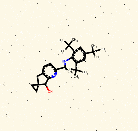 CC(Nc1c(C(C)(C)C)cc(C(C)(C)C)cc1C(C)(C)C)c1ccc2c(n1)C(O)C1(CC1)C2